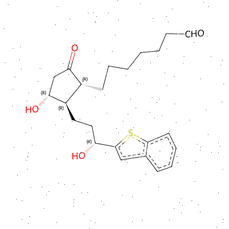 O=CCCCCCC[C@H]1C(=O)C[C@@H](O)[C@@H]1CC[C@@H](O)c1cc2ccccc2s1